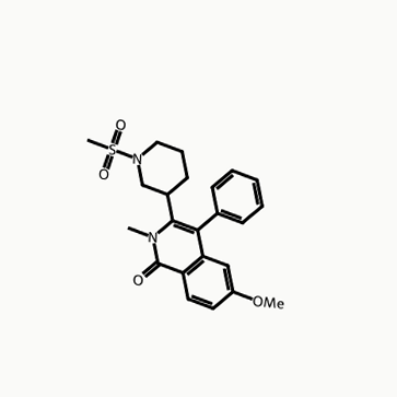 COc1ccc2c(=O)n(C)c(C3CCCN(S(C)(=O)=O)C3)c(-c3ccccc3)c2c1